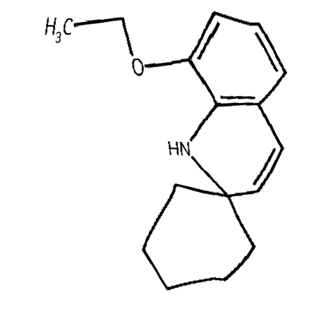 CCOc1cccc2c1NC1(C=C2)CCCCC1